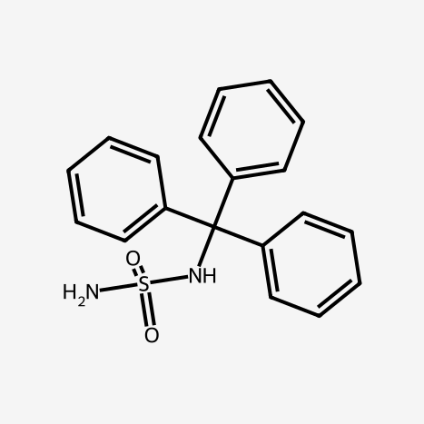 NS(=O)(=O)NC(c1ccccc1)(c1ccccc1)c1ccccc1